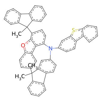 CC1(C)c2ccccc2-c2ccc(N(c3ccc4c(c3)sc3ccccc34)c3ccc(C4(C)c5ccccc5-c5ccccc54)c4oc5ccccc5c34)cc21